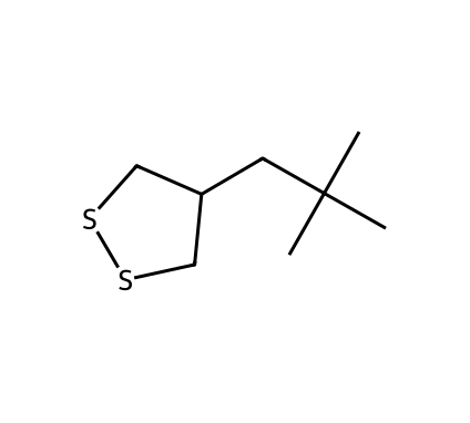 CC(C)(C)CC1CSSC1